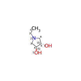 CCN1C[C@H](O)[C@@H](O)C1